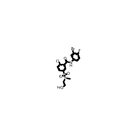 CN(CCO)S(=O)(=O)c1ccc(Cl)c(C(=O)Nc2ccc(F)c(Br)c2)c1